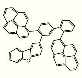 c1ccc(-c2ccc3ccc4cccc5ccc2c3c45)c(-c2ccc(-c3ccc4ccc5cccc6ccc3c4c56)c(-c3ccc4oc5ccccc5c4c3)c2)c1